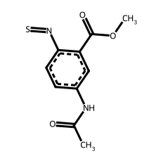 COC(=O)c1cc(NC(C)=O)ccc1N=S